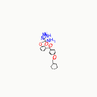 NC1(c2nnn[nH]2)COc2cccc(C(=O)c3ccc(OCC4CCCCC4)cc3)c2O1